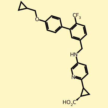 O=C(O)[C@@H]1CC1c1ccc(NCc2ccc(C(F)(F)F)c(-c3ccc(OCC4CC4)cc3)c2)cn1